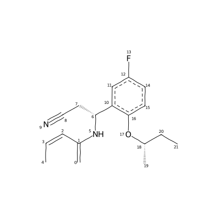 C=C(/C=C\C)N[C@H](CC#N)c1cc(F)ccc1O[C@@H](C)CC